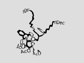 CCCCCCCCCCCCCCCCSCC(CO[C@@H]1O[C@H](COC(C)=O)[C@@H](OC(C)=O)[C@H](OC(C)=O)[C@H]1N1C(=O)c2ccccc2C1=O)CSCCCCCCCCCCCCCCCC